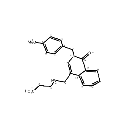 COc1ccc(Cn2nc(CNCCC(=O)O)c3ccccc3c2=O)cc1